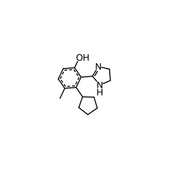 Cc1ccc(O)c(C2=NCCN2)c1C1CCCC1